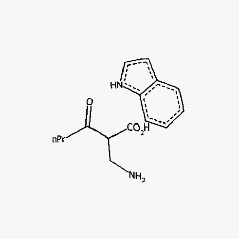 CCCC(=O)C(CN)C(=O)O.c1ccc2[nH]ccc2c1